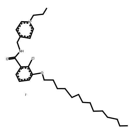 CCCCCCCCCCCCCCOc1cccc(C(=O)NCc2cc[n+](CCC)cc2)c1Cl.[I-]